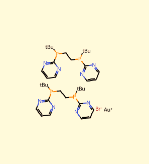 CC(C)(C)P(CCP(c1ncccn1)C(C)(C)C)c1ncccn1.CC(C)(C)P(CCP(c1ncccn1)C(C)(C)C)c1ncccn1.[Au+].[Br-]